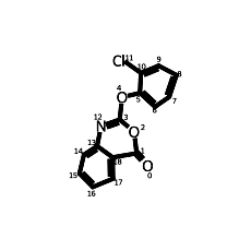 O=c1oc(Oc2ccccc2Cl)nc2ccccc12